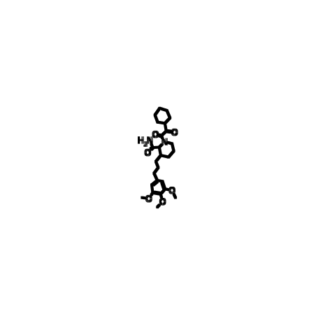 COc1cc(CCCC2CCCN(C(=O)C(=O)C3CCCCC3)C2C(N)=O)cc(OC)c1OC